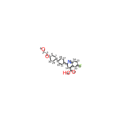 COCCOc1ccc(-c2ccc(-c3cc(C(=O)O)c4cc(F)ccc4n3)cc2)cc1